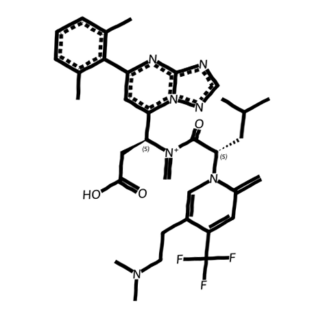 C=C1C=C(C(F)(F)F)C(CCN(C)C)=CN1[C@@H](CC(C)C)C(=O)[N+](=C)[C@@H](CC(=O)O)c1cc(-c2c(C)cccc2C)nc2ncnn12